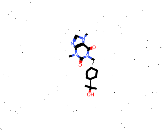 Cn1cnc2c1c(=O)n(C[C@H]1CC[C@H](C(C)(C)O)CC1)c(=O)n2C